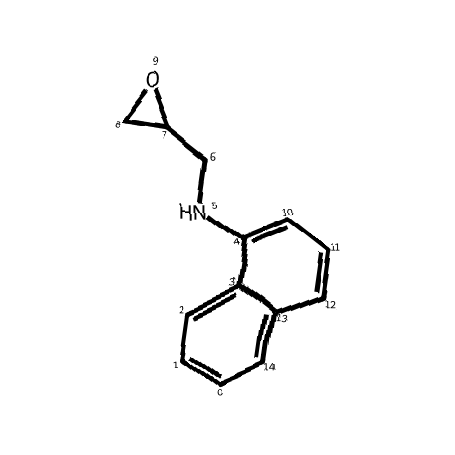 c1ccc2c(NCC3CO3)cccc2c1